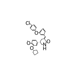 COc1ccc([C@H]2CNC(=O)C(=Cc3cccc(Oc4ccc(Cl)cc4)c3)C2)cc1OC1CCCC1